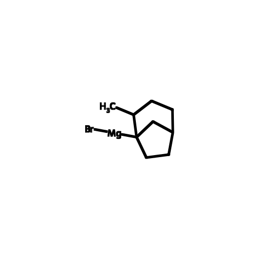 CC1CCC2CC[C]1([Mg][Br])C2